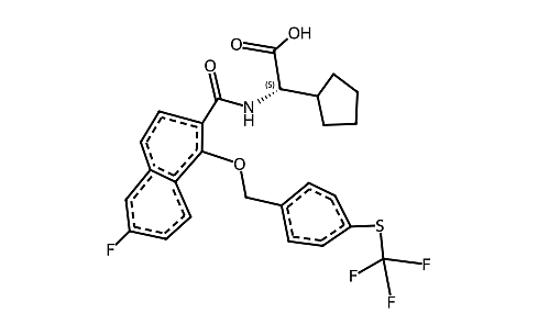 O=C(N[C@H](C(=O)O)C1CCCC1)c1ccc2cc(F)ccc2c1OCc1ccc(SC(F)(F)F)cc1